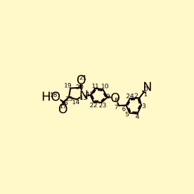 N#Cc1cccc(COc2ccc(N3CC(C(=O)O)CC3=O)cc2)c1